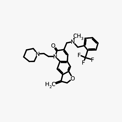 C=C1COc2cc3cc(CN(C)Cc4ccccc4C(F)(F)F)c(=O)n(CCN4CCCCC4)c3cc21